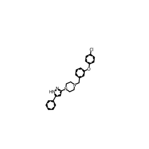 Clc1ccc(Oc2cccc(CN3CCN(c4cc(-c5ccccc5)[nH]n4)CC3)c2)cc1